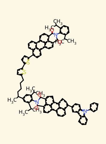 CC(C)c1cc(C(C)CCCCc2ccc(-c3ccc(-c4ccc5c6ccc7c8c(ccc(c9cccc4c95)c86)C(=O)N(c4c(C(C)C)cccc4C(C)C)C7=O)s3)s2)cc(C(C)C)c1N1C(=O)c2ccc3c4cccc5c(-c6ccc7c(c6)c6ccccc6n7-c6ccccc6)ccc(c6ccc(c2c36)C1=O)c54